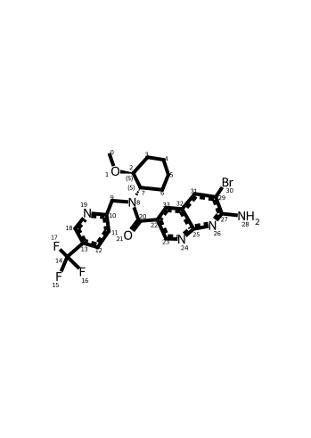 CO[C@H]1CCCC[C@@H]1N(Cc1ccc(C(F)(F)F)cn1)C(=O)c1cnc2nc(N)c(Br)cc2c1